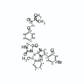 C[C@H](c1ccccc1)[C@@H](c1ncc(-c2ccc(Br)cc2Cl)[nH]1)N1C(=O)N[C@H](c2ccc(OCC(=O)N(C)C)cc2)C1=O